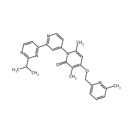 Cc1cccc(COc2cc(C)n(-c3ccnc(-c4ccnc(C(C)C)n4)c3)c(=O)c2C)n1